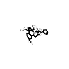 C=C1CCC2=C(C1)C1CC3OC(C4CC=CCC4)CC3(C)CN1C1(CC)C=CC21CC